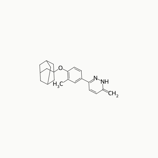 C=C1C=CC(c2ccc(OC34CC5CC(CC(C5)C3)C4)c(C)c2)=NN1